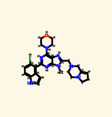 CCn1c(CN2CCN3CCC=C3C2)nc2c(N3CCOCC3)nc(-c3c(F)ccc4[nH]ccc34)nc21